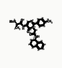 CN[C@@H](C)C(=O)Nc1cnc(-c2ccc(C)cc2)n(CC(=O)N[C@@H]2CCCc3ccccc32)c1=O